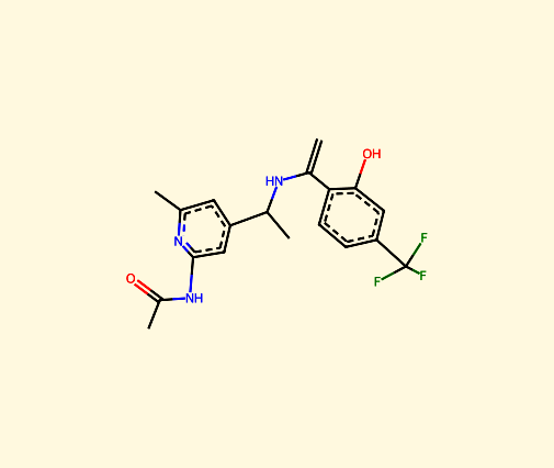 C=C(NC(C)c1cc(C)nc(NC(C)=O)c1)c1ccc(C(F)(F)F)cc1O